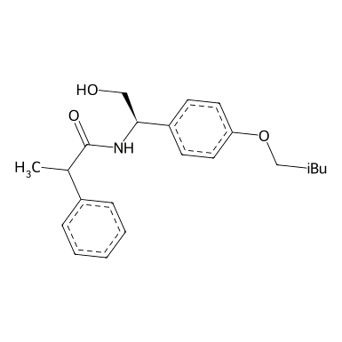 CCC(C)COc1ccc([C@H](CO)NC(=O)C(C)c2ccccc2)cc1